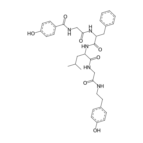 CC(C)CC(NC(=O)C(Cc1ccccc1)NC(=O)CNC(=O)c1ccc(O)cc1)C(=O)NCC(=O)NCCc1ccc(O)cc1